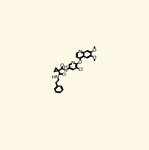 COc1cc2nccc(Oc3ncc(NC(=O)C4(C(=O)NCCc5ccccc5)CC4)cc3Cl)c2cc1OC